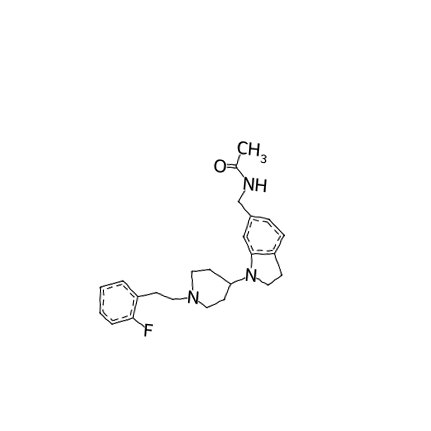 CC(=O)NCc1ccc2c(c1)N(C1CCN(CCc3ccccc3F)CC1)CC2